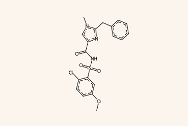 COc1ccc(Cl)c(S(=O)(=O)NC(=O)c2cn(C)c(Cc3ccccc3)n2)c1